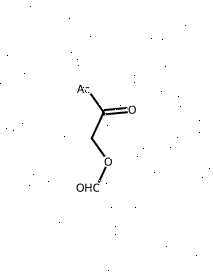 CC(=O)C(=O)COC=O